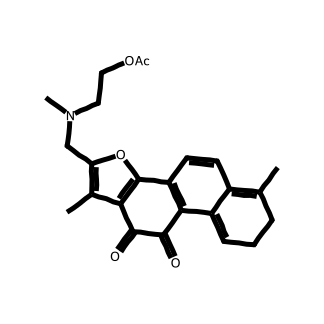 CC(=O)OCCN(C)Cc1oc2c(c1C)C(=O)C(=O)c1c-2ccc2c1=CCCC=2C